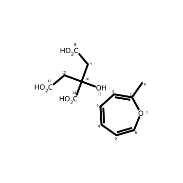 CC1=CC=CC=CO1.O=C(O)CC(O)(CC(=O)O)C(=O)O